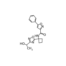 CC(O)c1noc(C2(NC(=O)c3cc(-c4ccccc4)on3)CCC2)n1